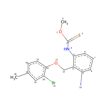 COC(=S)Nc1cccc(I)c1COc1ccc(C)cc1Br